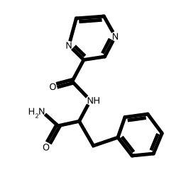 NC(=O)C(Cc1ccccc1)NC(=O)c1cnccn1